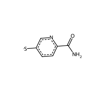 NC(=O)c1ccc([S])cn1